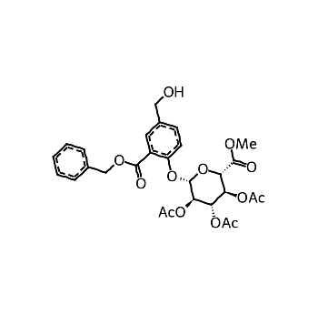 COC(=O)[C@H]1O[C@@H](Oc2ccc(CO)cc2C(=O)OCc2ccccc2)[C@H](OC(C)=O)[C@@H](OC(C)=O)[C@@H]1OC(C)=O